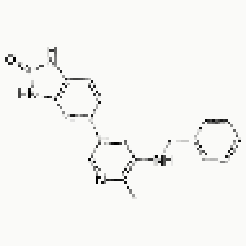 Cc1ncc(-c2ccc3[nH]c(=O)[nH]c3c2)cc1NCc1ccccc1